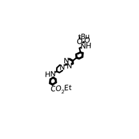 CCOC(=O)c1ccc(NC2CCN(c3ncc(-c4cccc(CNC(=O)OC(C)(C)C)c4)cn3)CC2)cc1